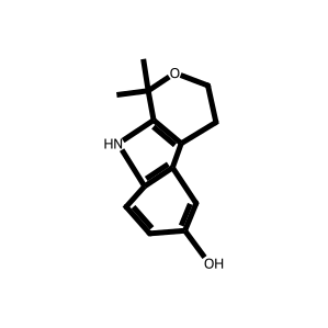 CC1(C)OCCc2c1[nH]c1ccc(O)cc21